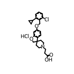 Cl.O=C(O)CCN1CCC2(CC1)COc1cc(OCc3c(Cl)cccc3C3CC3)ccc12